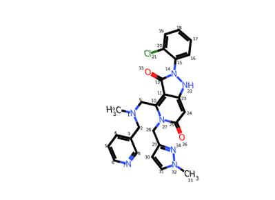 CN(Cc1cccnc1)Cc1c2c(=O)n(-c3ccccc3Cl)[nH]c2cc(=O)n1Cc1ccn(C)n1